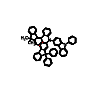 CC1(C)c2ccccc2-c2c(-c3ccccc3N(c3ccc4c(c3)C(c3ccccc3)(c3ccccc3)c3ccccc3-4)c3ccc4c(c3)c3ccccc3n4-c3ccccc3)cccc21